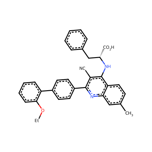 CCOc1ccccc1-c1ccc(-c2nc3cc(C)ccc3c(N[C@H](Cc3ccccc3)C(=O)O)c2C#N)cc1